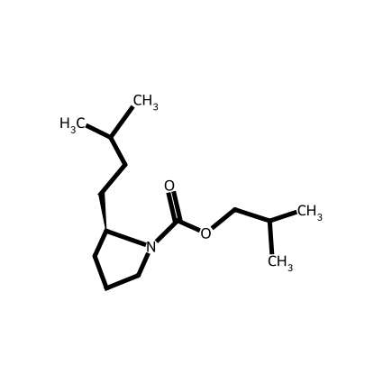 CC(C)CC[C@@H]1CCCN1C(=O)OCC(C)C